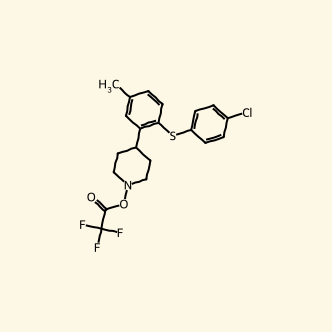 Cc1ccc(Sc2ccc(Cl)cc2)c(C2CCN(OC(=O)C(F)(F)F)CC2)c1